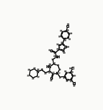 O=C(NCC1CCN(Cc2cc(Cl)cc(Cl)c2)C(=O)C(CCN2CCCCC2)N1)c1cc(-c2ccc(Cl)cc2)on1